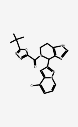 CC(C)(C)c1nnc(C(=O)N2CCc3[nH]cnc3C2c2cc3c(Cl)cccn3n2)o1